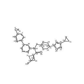 Cc1ccc(-c2cccc(N(CC34CCC(c5nc(C6CC6)no5)(CC3)CC4)C(=O)C34CC(F)(C3)C4)c2)nn1